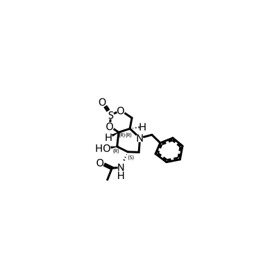 CC(=O)N[C@H]1CN(Cc2ccccc2)[C@@H]2COS(=O)O[C@H]2[C@@H]1O